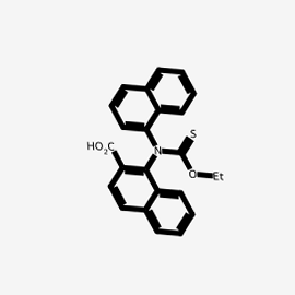 CCOC(=S)N(c1cccc2ccccc12)c1c(C(=O)O)ccc2ccccc12